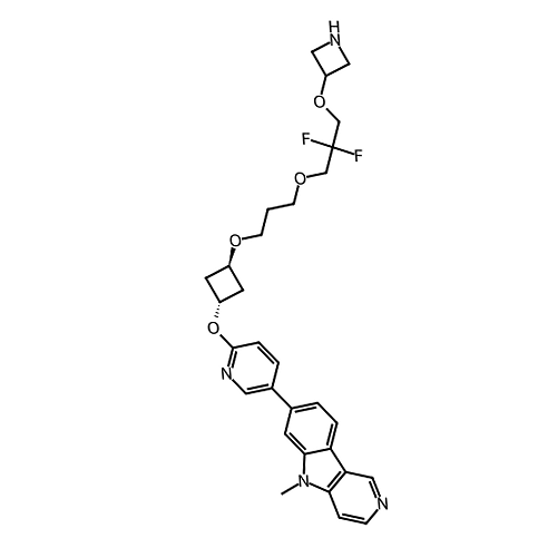 Cn1c2ccncc2c2ccc(-c3ccc(O[C@H]4C[C@H](OCCCOCC(F)(F)COC5CNC5)C4)nc3)cc21